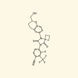 N#Cc1ccc(N2C(=O)C3(CCC3)N(c3ccc4c(c3)CCC(CO)O4)C2=S)c(F)c1C(F)(F)F